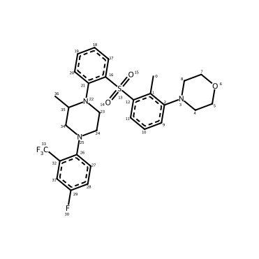 Cc1c(N2CCOCC2)cccc1S(=O)(=O)c1ccccc1N1CCN(c2ccc(F)cc2C(F)(F)F)CC1C